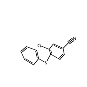 N#Cc1ccc(Sc2ccccc2)c(Cl)c1